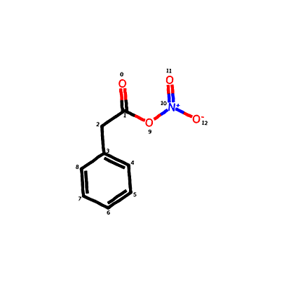 O=C(Cc1ccccc1)O[N+](=O)[O-]